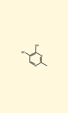 Cc1ncc(C#N)c(O)n1